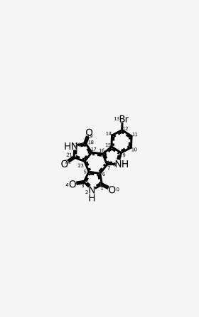 O=c1[nH]c(=O)c2c1c1[nH]c3ccc(Br)cc3c1c1c(=O)[nH]c(=O)c21